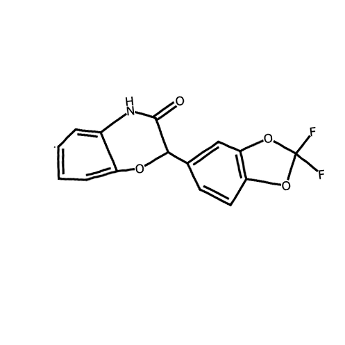 O=C1Nc2c[c]ccc2OC1c1ccc2c(c1)OC(F)(F)O2